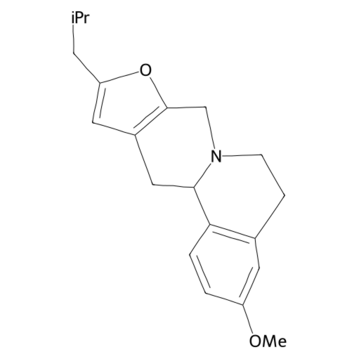 COc1ccc2c(c1)CCN1Cc3oc(CC(C)C)cc3CC21